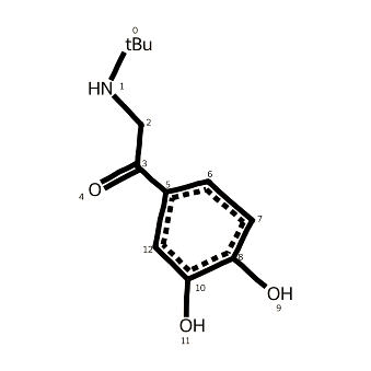 CC(C)(C)NCC(=O)c1ccc(O)c(O)c1